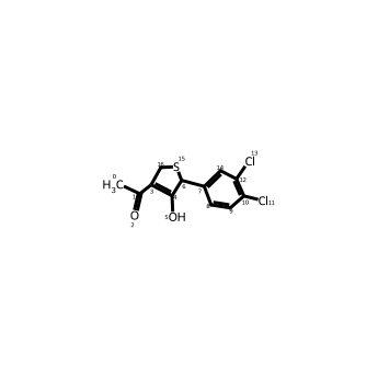 CC(=O)C1=C(O)C(c2ccc(Cl)c(Cl)c2)SC1